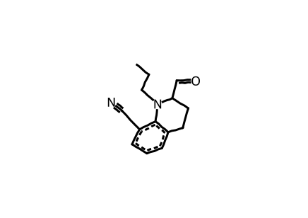 CCCN1c2c(C#N)cccc2CCC1C=O